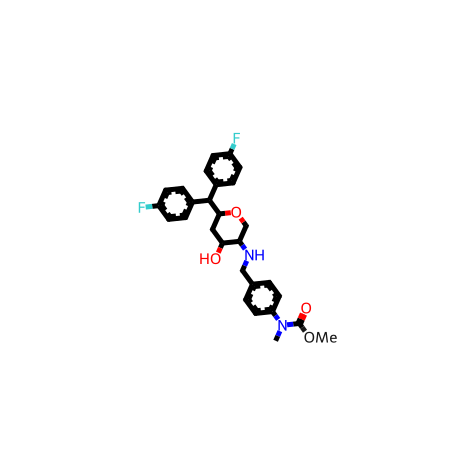 COC(=O)N(C)c1ccc(CNC2COC(C(c3ccc(F)cc3)c3ccc(F)cc3)CC2O)cc1